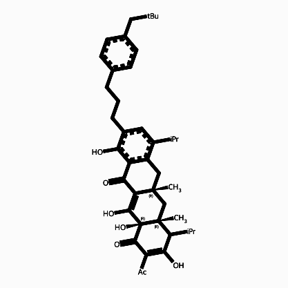 CC(=O)C1=C(O)C(C(C)C)[C@@]2(C)C[C@@]3(C)Cc4c(C(C)C)cc(CCCc5ccc(CC(C)(C)C)cc5)c(O)c4C(=O)C3=C(O)[C@@]2(O)C1=O